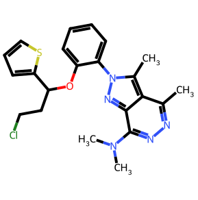 Cc1nnc(N(C)C)c2nn(-c3ccccc3OC(CCCl)c3cccs3)c(C)c12